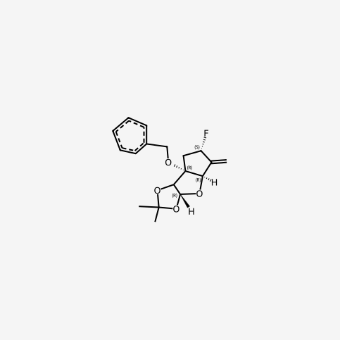 C=C1[C@H]2O[C@@H]3OC(C)(C)OC3[C@@]2(OCc2ccccc2)C[C@@H]1F